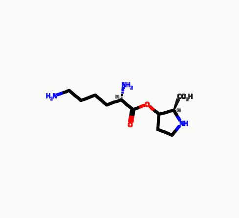 NCCCC[C@H](N)C(=O)OC1CCN[C@@H]1C(=O)O